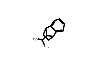 CC(C)C1C2CCC1c1ccccc12